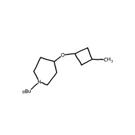 CCCCN1CCC(OC2CC(C)C2)CC1